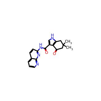 CC1(C)CC(=O)c2c(C(=O)Nc3ccc4cccnc4n3)c[nH]c2C1